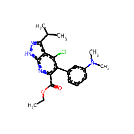 CCOC(=O)c1nc2[nH]nc(C(C)C)c2c(Cl)c1-c1cccc(N(C)C)c1